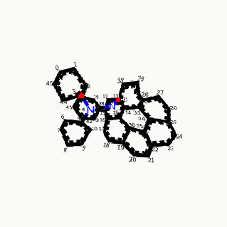 c1ccc(N(c2ccccc2)c2cc3c4c5c2ccc2ccc6ccc7ccc8ccc(c4c8c7c6c25)n3-c2ccccc2)cc1